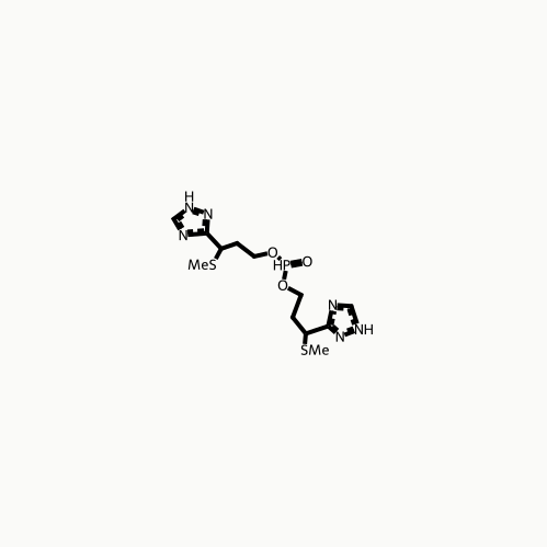 CSC(CCO[PH](=O)OCCC(SC)c1nc[nH]n1)c1nc[nH]n1